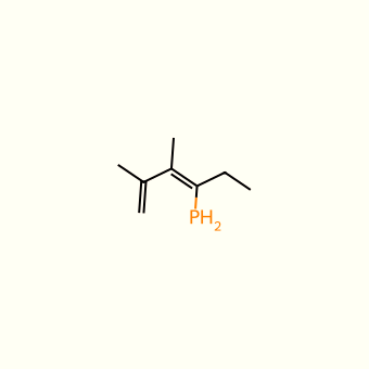 C=C(C)/C(C)=C(\P)CC